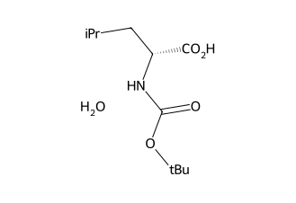 CC(C)C[C@@H](NC(=O)OC(C)(C)C)C(=O)O.O